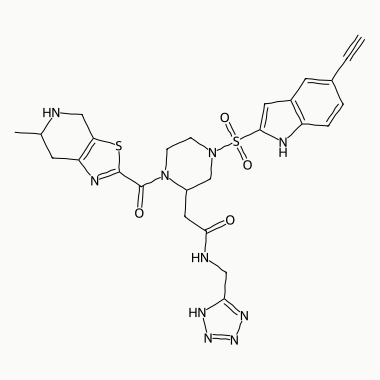 C#Cc1ccc2[nH]c(S(=O)(=O)N3CCN(C(=O)c4nc5c(s4)CNC(C)C5)C(CC(=O)NCc4nnn[nH]4)C3)cc2c1